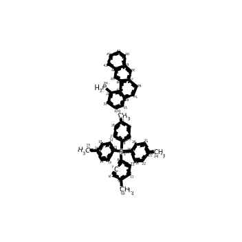 Cc1ccc([B-](c2ccc(C)cc2)(c2ccc(C)cc2)c2ccc(C)cc2)cc1.Pc1cccc2ccc3cc4ccccc4cc3c12